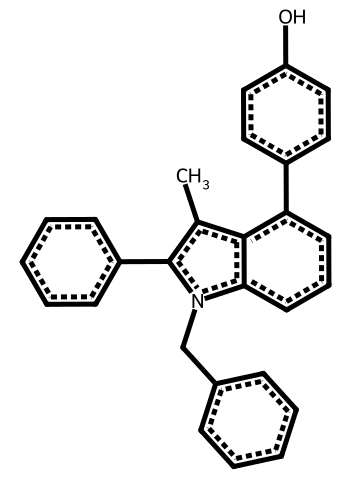 Cc1c(-c2ccccc2)n(Cc2ccccc2)c2cccc(-c3ccc(O)cc3)c12